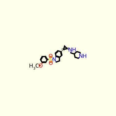 COc1cccc(S(=O)(=O)N2CCc3cc([C@@H]4C[C@H]4NCC4CCNCC4)ccc32)c1